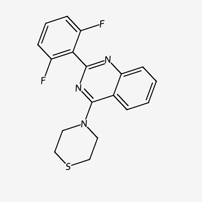 Fc1cccc(F)c1-c1nc(N2CCSCC2)c2ccccc2n1